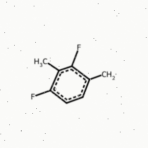 [CH2]c1ccc(F)c(C)c1F